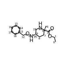 CCOC(=O)[C@]1(C)CC[C@@H](NOCc2ccccc2)CN1